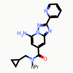 CCCN(CC1CC1)C(=O)c1cc(N)n2nc(-c3ccccn3)nc2c1